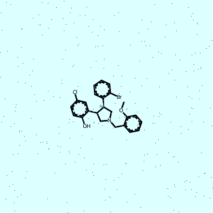 COc1ccccc1CN1CC(c2cc(Cl)ccc2O)[C@@H](c2ccccc2Br)C1